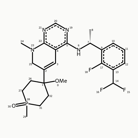 COC1(C2=Cc3c(N[C@H](C)c4cccc(C(F)F)c4F)ncnc3N(C)C2)CCP(C)(=O)CC1